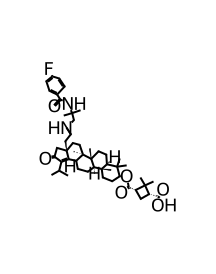 CC(C)C1=C2[C@H]3CC[C@@H]4[C@@]5(C)CC[C@H](OC(=O)[C@H]6C[C@@H](C(=O)O)C6(C)C)C(C)(C)[C@@H]5CC[C@@]4(C)[C@]3(C)CC[C@@]2(CCNCC(C)(C)NC(=O)c2ccc(F)cc2)CC1=O